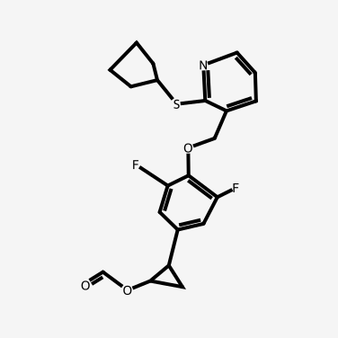 O=COC1CC1c1cc(F)c(OCc2cccnc2SC2CCCC2)c(F)c1